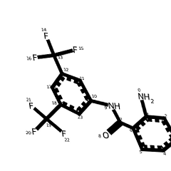 Nc1ccccc1C(=O)Nc1cc(C(F)(F)F)cc(C(F)(F)F)c1